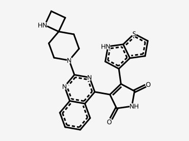 O=C1NC(=O)C(c2c[nH]c3sccc23)=C1c1nc(N2CCC3(CCN3)CC2)nc2ccccc12